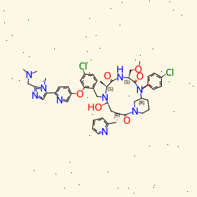 COC[C@@H]1NC(=O)[C@H](C)N(Cc2ccc(Cl)cc2Oc2ccc(-c3cnc(CN(C)C)n3C)nc2)C(O)C[C@@H](Cc2ccccn2)C(=O)N2CCC[C@@](Cc3ccc(Cl)cc3)(C2)N(C)C1=O